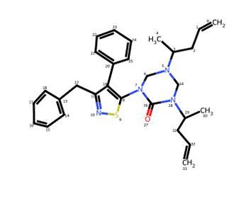 C=CCC(C)N1CN(c2snc(Cc3ccccc3)c2-c2ccccc2)C(=O)N(C(C)CC=C)C1